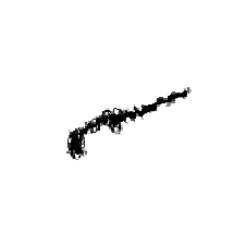 CCCCCCCCCCCCOC(=O)OCCOCCC[Si](C)(C)O[Si](C)(C)OC